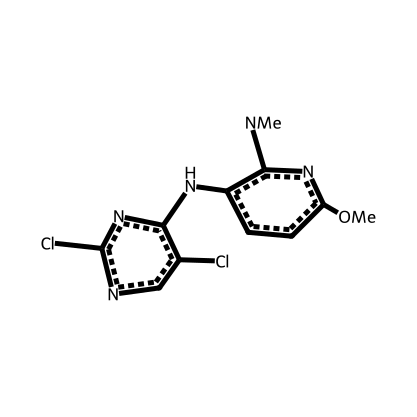 CNc1nc(OC)ccc1Nc1nc(Cl)ncc1Cl